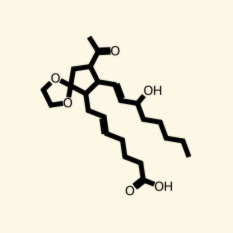 CCCCCC(O)C=CC1C(C(C)=O)CC2(OCCO2)C1CC=CCCCC(=O)O